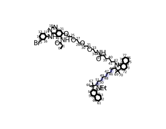 C=CC(=O)Nc1cc2c(Nc3cccc(Br)c3)ncnc2cc1OCCOCCOCCOCCNC(=O)CCCCC[N+]1=C(/C=C/C=C/C=C/C=C2\N(CC)c3c(ccc4ccccc34)C2(C)C)C(C)(C)c2ccc3ccccc3c21